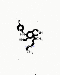 C=C(C/C=C\C=C/C)C12CNCCC1=CC(Nc1ccc(F)cc1)=C(C=N)C2